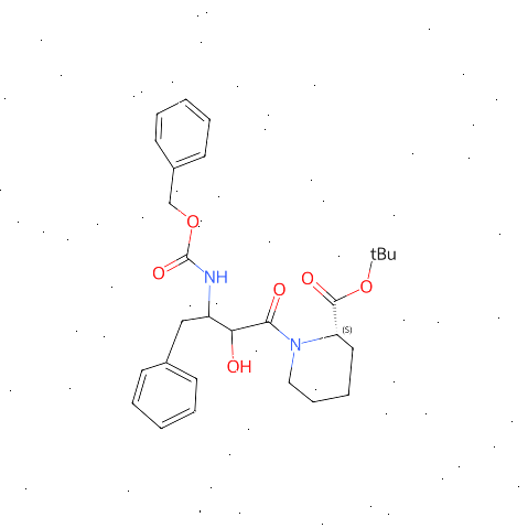 CC(C)(C)OC(=O)[C@@H]1CCCCN1C(=O)C(O)C(Cc1ccccc1)NC(=O)OCc1ccccc1